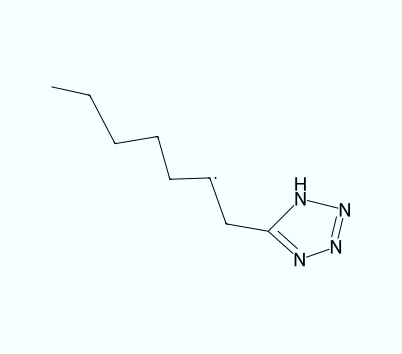 CCCCC[CH]Cc1nnn[nH]1